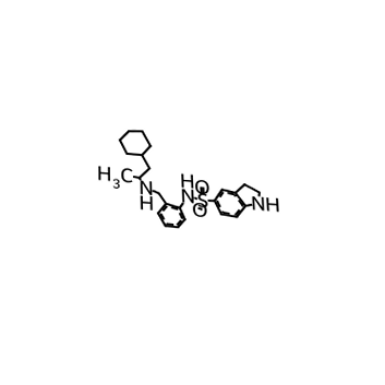 CC(CC1CCCCC1)NCc1ccccc1NS(=O)(=O)c1ccc2c(c1)CCN2